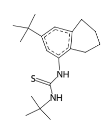 CC(C)(C)NC(=S)Nc1cc(C(C)(C)C)cc2c1CCCC2